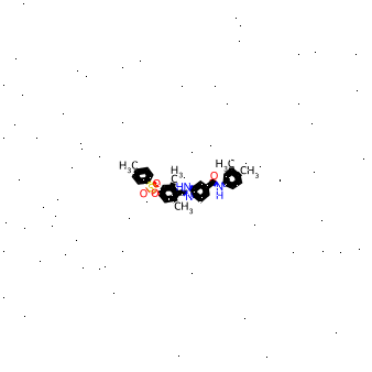 Cc1ccc(S(=O)(=O)Oc2cc(C)c(-c3nc4ccc(C(=O)Nc5ccc(C)c(C)c5)cc4[nH]3)c(C)c2)cc1